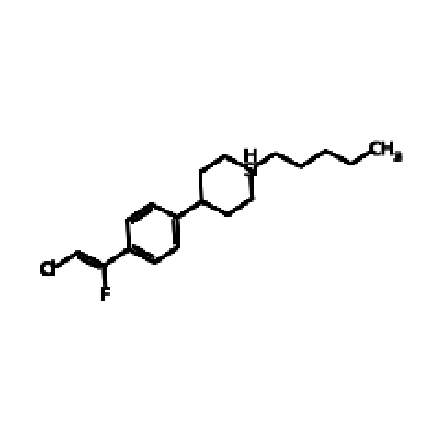 CCCCC[SiH]1CCC(c2ccc(C(F)=CCl)cc2)CC1